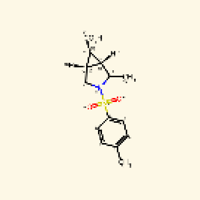 Cc1ccc(S(=O)(=O)N2C[C@@H]3[C@@H](C(=O)O)[C@@H]3C2C)cc1